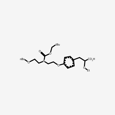 CCCCOCCN(CCOc1ccc(CC(OCC)C(=O)O)cc1)C(=O)OCC(C)(C)C